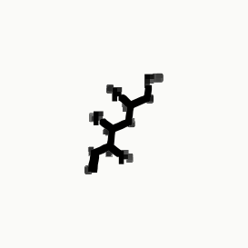 C=CC(F)C(F)CC(F)CF